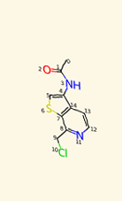 CC(=O)Nc1csc2c(CCl)nccc12